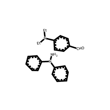 CCN(CC)c1ccc(C=O)cc1.NN(c1ccccc1)c1ccccc1